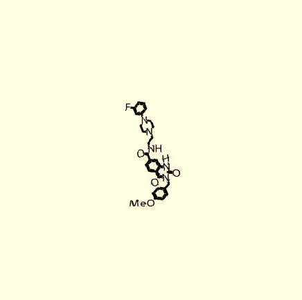 COc1ccc(Cn2c(=O)[nH]c3cc(C(=O)NCCN4CCN(c5cccc(F)c5)CC4)ccc3c2=O)cc1